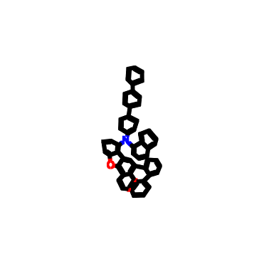 c1ccc(-c2ccc(-c3ccc(N(c4cccc5ccccc45)c4cccc5oc6c7ccccc7c(-c7ccccc7-c7ccccc7)cc6c45)cc3)cc2)cc1